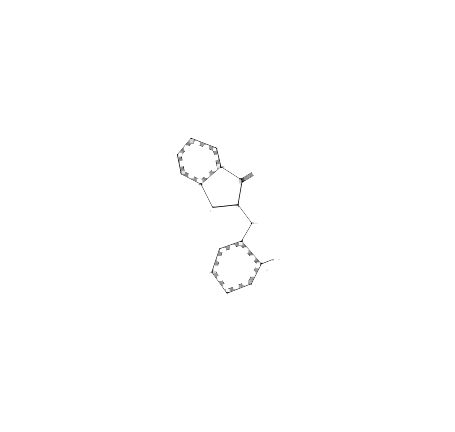 O=C1c2ccccc2CC1Cc1ccccc1Br